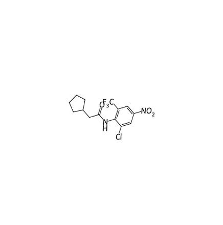 O=C(CC1CCCC1)Nc1c(Cl)cc([N+](=O)[O-])cc1C(F)(F)F